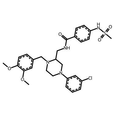 COc1ccc(CN2CCN(c3cccc(Cl)c3)CC2CNC(=O)c2ccc(NS(C)(=O)=O)cc2)cc1OC